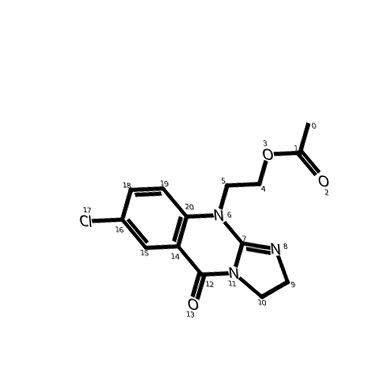 CC(=O)OCCN1C2=NCCN2C(=O)c2cc(Cl)ccc21